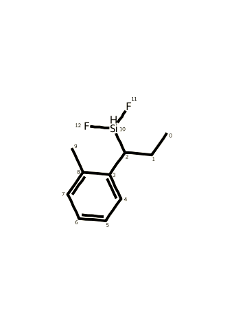 CCC(c1ccccc1C)[SiH](F)F